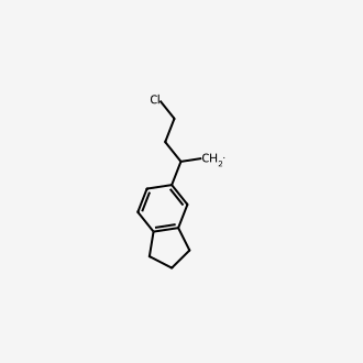 [CH2]C(CCCl)c1ccc2c(c1)CCC2